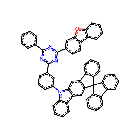 c1ccc(-c2nc(-c3cccc(-n4c5ccccc5c5cc6c(cc54)-c4ccccc4C64c5ccccc5-c5ccccc54)c3)nc(-c3ccc4c(c3)oc3ccccc34)n2)cc1